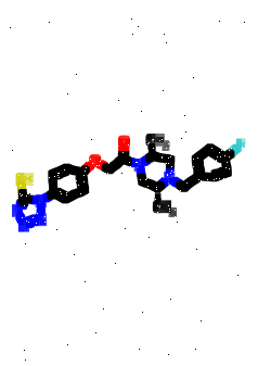 C[C@@H]1CN(C(=O)COc2ccc(-n3nnnc3S)cc2)[C@@H](C)CN1Cc1ccc(F)cc1